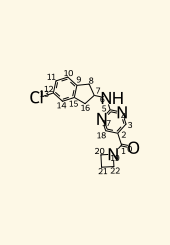 O=C(c1cnc(NC2Cc3ccc(Cl)cc3C2)nc1)N1CCC1